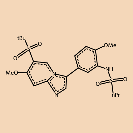 CCCS(=O)(=O)Nc1cc(-c2cnc3cc(OC)c(S(=O)(=O)C(C)(C)C)cn23)ccc1OC